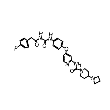 O=C(Cc1ccc(F)cc1)NC(=O)Nc1ccc(Oc2ccnc(NC(=O)N3CCC(N4CCC4)CC3)c2)cc1